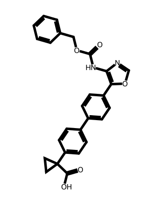 O=C(Nc1ncoc1-c1ccc(-c2ccc(C3(C(=O)O)CC3)cc2)cc1)OCc1ccccc1